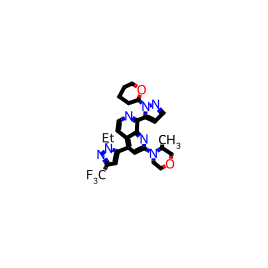 CCn1nc(C(F)(F)F)cc1-c1cc(N2CCOCC2C)nc2c(-c3ccnn3C3CCCCO3)nccc12